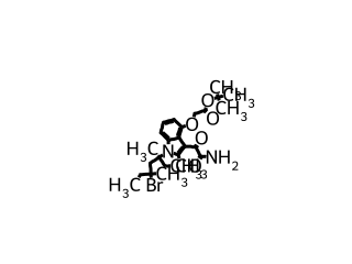 CCC(C)(Br)CC(C)(CC)n1c(C)c(C(=O)C(N)=O)c2c(OCC(=O)OC(C)(C)C)cccc21